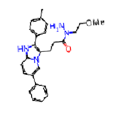 COCCN(N)C(=O)CCC1=C(c2ccc(C)cc2)NC2C=CC(c3ccccc3)=CN12